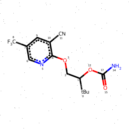 CC(C)(C)C(COc1ncc(C(F)(F)F)cc1C#N)OC(N)=O